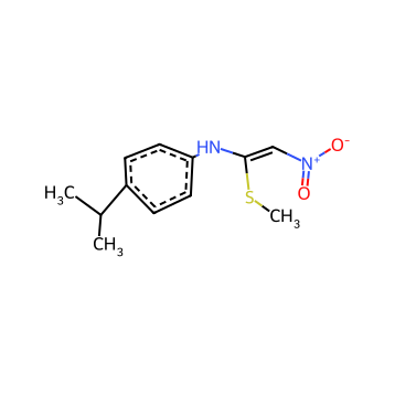 CS/C(=C\[N+](=O)[O-])Nc1ccc(C(C)C)cc1